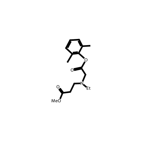 CCN(CCC(=O)OC)CC(=O)Oc1c(C)cccc1C